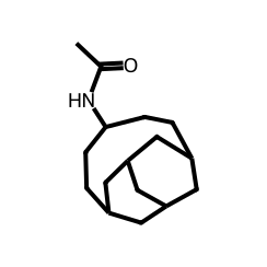 CC(=O)NC1CCC2CC3CC(CC1)CC(C2)C3